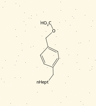 CCCCCCCCc1ccc(COC(=O)O)cc1